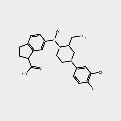 CCC1CN(c2ccc(Cl)c(Cl)c2)CCN1[S+]([O-])c1ccc2c(c1)C(C(=O)O)CC2